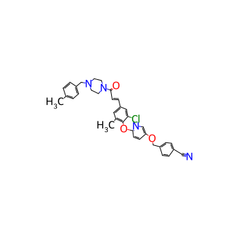 Cc1ccc(CN2CCN(C(=O)C=Cc3cc(C)c(Oc4ccc(OCc5ccc(C#N)cc5)cn4)c(Cl)c3)CC2)cc1